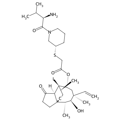 C=C[C@]1(C)C[C@@H](OC(=O)CS[C@H]2CCCN(C(=O)[C@H](N)C(C)C)C2)[C@]2(I)[C@H](C)CC[C@]3(CCC(=O)[C@H]32)[C@@H](C)[C@@H]1O